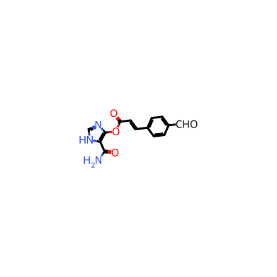 NC(=O)c1[nH]cnc1OC(=O)C=Cc1ccc(C=O)cc1